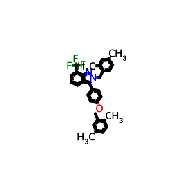 Cc1ccc(Cn2nc3c(C(F)(F)F)cccc3c2-c2ccc(OCc3cc(C)ccc3C)cc2)c(C)c1